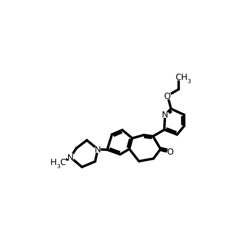 CCOc1cccc(C2=Cc3ccc(N4CCN(C)CC4)cc3CCC2=O)n1